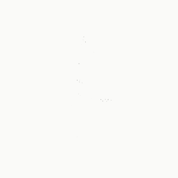 CCCCCCCCCCCC(=O)NCCCN.CNC